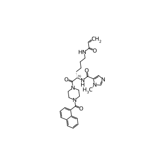 C=CC(=O)NCCCC[C@H](NC(=O)c1cncn1C)C(=O)N1CCN(C(=O)c2cccc3ccccc23)CC1